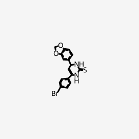 S=C1NC(c2ccc(Br)cc2)=CC(c2ccc3c(c2)OCO3)N1